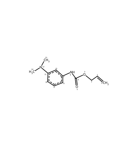 C=CCOC(=O)Nc1c[c]cc(N(C)C)c1